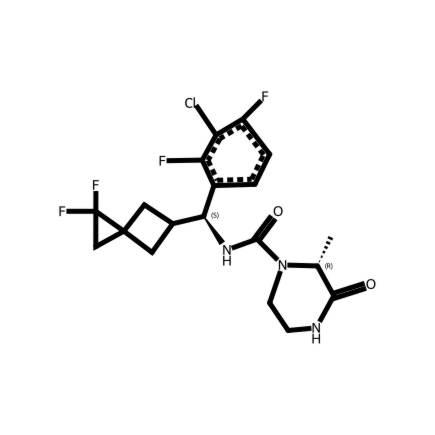 C[C@@H]1C(=O)NCCN1C(=O)N[C@H](c1ccc(F)c(Cl)c1F)C1CC2(C1)CC2(F)F